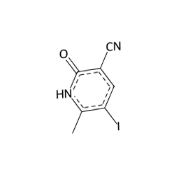 Cc1[nH]c(=O)c(C#N)cc1I